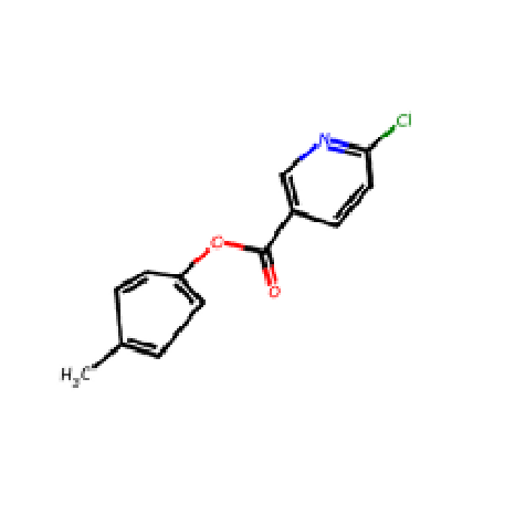 Cc1ccc(OC(=O)c2ccc(Cl)nc2)cc1